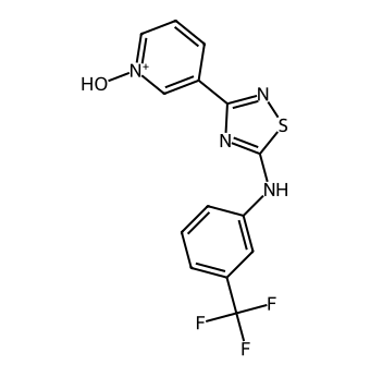 O[n+]1cccc(-c2nsc(Nc3cccc(C(F)(F)F)c3)n2)c1